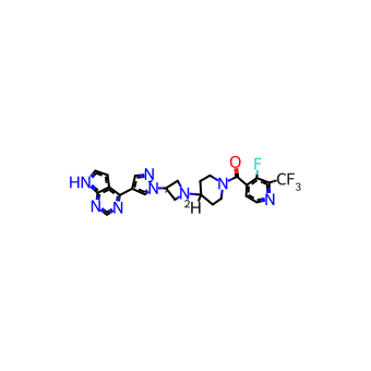 [2H]C1(N2C[C](n3cc(-c4ncnc5[nH]ccc45)cn3)C2)CCN(C(=O)c2ccnc(C(F)(F)F)c2F)CC1